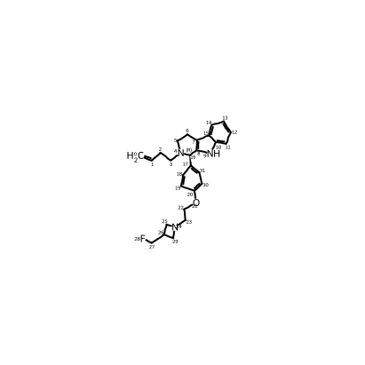 C=CCCN1CCc2c([nH]c3ccccc23)[C@H]1c1ccc(OCCN2CC(CF)C2)cc1